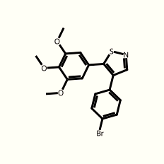 COc1cc(-c2sncc2-c2ccc(Br)cc2)cc(OC)c1OC